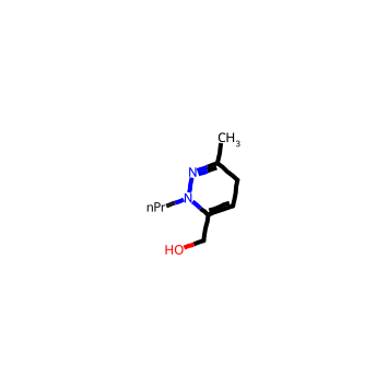 CCCN1N=C(C)CC=C1CO